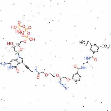 [N-]=[N+]=NC(COc1cccc(C(=O)NCCNC(=O)c2cc(C(=O)O)cc(C(=O)O)c2)c1)OCCOCC(=O)NCC#Cc1cn([C@H]2C[C@H](O)[C@@H](COP(=O)(O)OP(=O)(O)OP(=O)(O)O)O2)c2cc(N)[nH]c(=O)c12